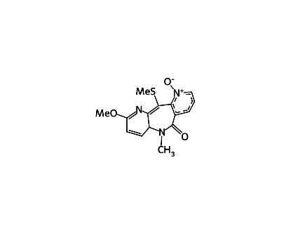 COC1=NC2=C(SC)c3c(ccc[n+]3[O-])C(=O)N(C)C2C=C1